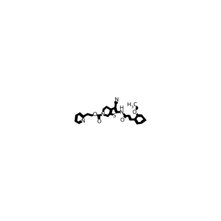 CCOc1ccccc1/C=C/C(=O)Nc1sc2c(c1C#N)CCN(C(=O)OCCc1ccccn1)C2